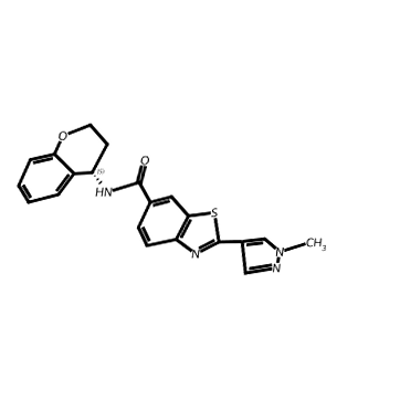 Cn1cc(-c2nc3ccc(C(=O)N[C@H]4CCOc5ccccc54)cc3s2)cn1